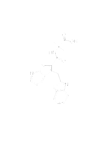 CC(C)(NC(=O)c1sc2ncccc2c1Cc1nc2ccccc2s1)C(=O)O